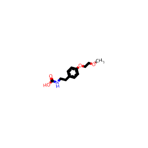 COCCOc1ccc(CCNC(=O)O)cc1